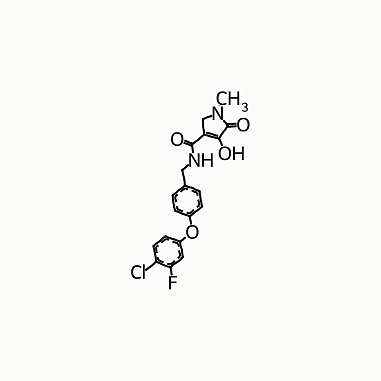 CN1CC(C(=O)NCc2ccc(Oc3ccc(Cl)c(F)c3)cc2)=C(O)C1=O